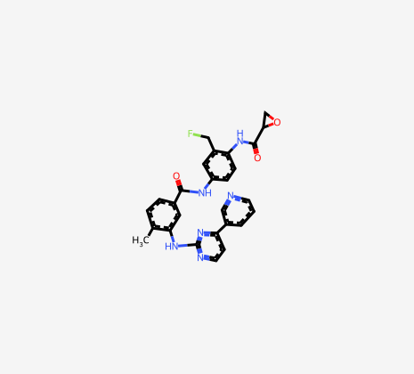 Cc1ccc(C(=O)Nc2ccc(NC(=O)C3CO3)c(CF)c2)cc1Nc1nccc(-c2cccnc2)n1